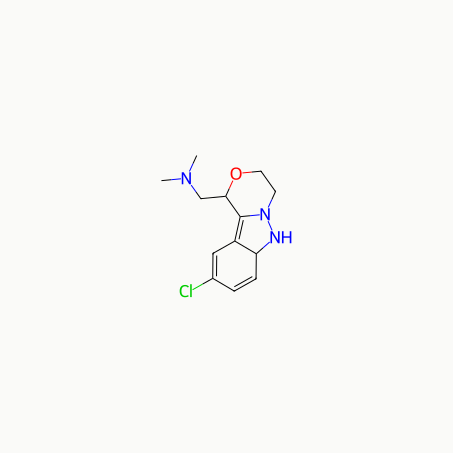 CN(C)CC1OCCN2NC3C=CC(Cl)=CC3=C12